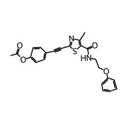 CC(=O)Oc1ccc(C#Cc2nc(C)c(C(=O)NCCOc3ccccc3)s2)cc1